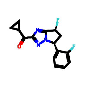 O=C(c1nc2n(n1)[C@H](c1ccccc1F)C[C@@H]2F)C1CC1